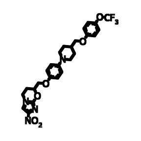 O=[N+]([O-])c1cn2c(n1)OC(COc1ccc(N3CCC(COc4ccc(OC(F)(F)F)cc4)CC3)cc1)CC2